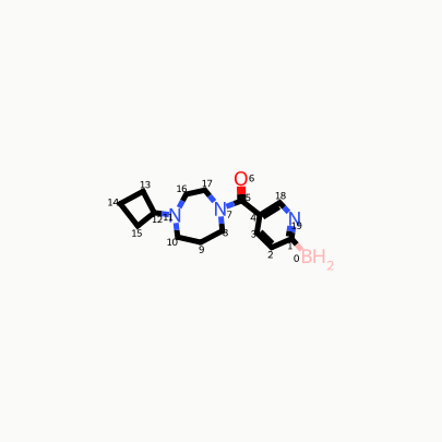 Bc1ccc(C(=O)N2CCCN(C3CCC3)CC2)cn1